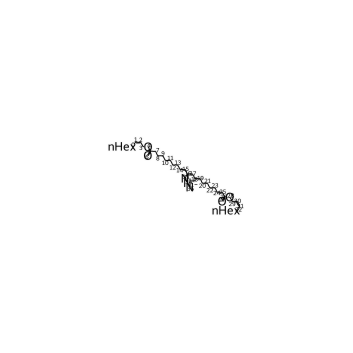 CCCCCC/C=C\COC(=O)CCCCCCCCCC(CCCCCCCCCC(=O)OC/C=C\CCCCCC)N=[N+]=[N-]